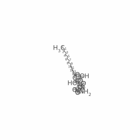 CCCCCCCCCCCCCCCC(=O)O[C@H]1[C@H](O)[C@H](n2cc([N+](=O)[O-])c(N)nc2=O)O[C@@H]1CO